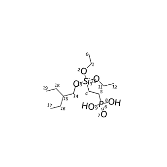 CCO[Si](CCP(=O)(O)O)(OCC)OCC(CC)CC